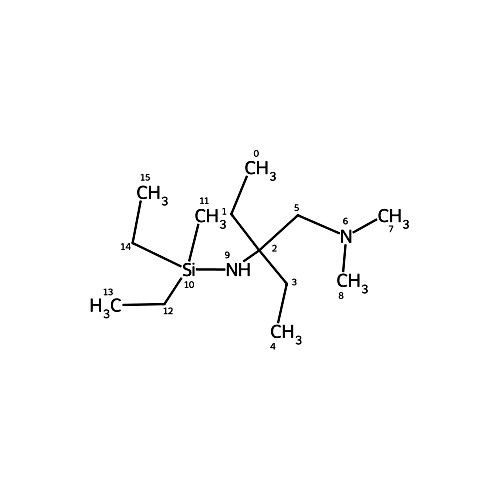 CCC(CC)(CN(C)C)N[Si](C)(CC)CC